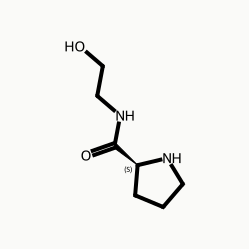 O=C(NCCO)[C@@H]1CCCN1